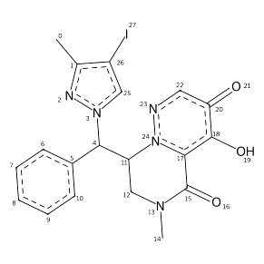 Cc1nn(C(c2ccccc2)C2CN(C)C(=O)c3c(O)c(=O)cnn32)cc1I